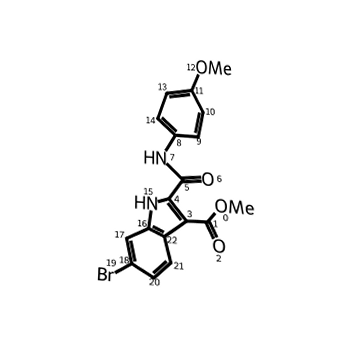 COC(=O)c1c(C(=O)Nc2ccc(OC)cc2)[nH]c2cc(Br)ccc12